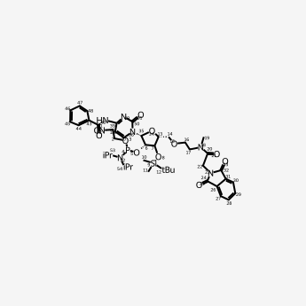 [C-]#[N+]CCOP(O[C@H]1C(O[Si](C)(C)C(C)(C)C)[C@@H](COCCN(C)C(=O)CN2C(=O)c3ccccc3C2=O)O[C@H]1n1ccc(NC(=O)c2ccccc2)nc1=O)N(C(C)C)C(C)C